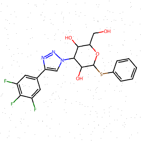 OCC1OC(Sc2ccccc2)C(O)C(n2cc(-c3cc(F)c(F)c(F)c3)nn2)C1O